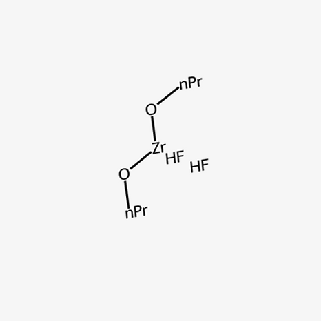 CCC[O][Zr][O]CCC.F.F